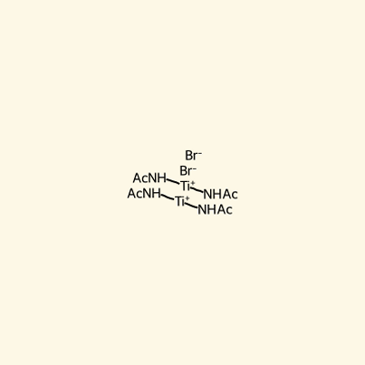 CC(=O)[NH][Ti+][NH]C(C)=O.CC(=O)[NH][Ti+][NH]C(C)=O.[Br-].[Br-]